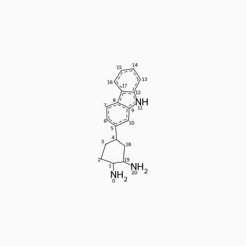 NC1CCC(c2ccc3c(c2)[nH]c2ccccc23)CC1N